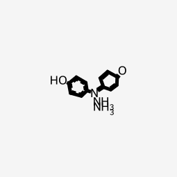 N.N.O=C1C=CC(=Nc2ccc(O)cc2)C=C1